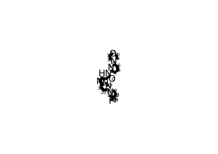 O=C(NC1CC=CC(N2CCOCC2)=N1)c1cnc2ccc(N3CCC(F)(F)C3)nn12